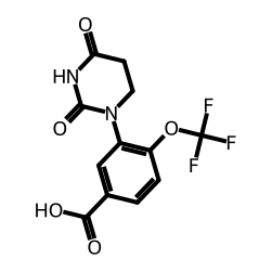 O=C1CCN(c2cc(C(=O)O)ccc2OC(F)(F)F)C(=O)N1